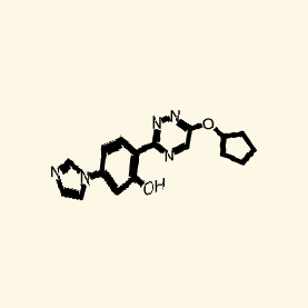 Oc1cc(-n2ccnc2)ccc1-c1ncc(OC2CCCC2)nn1